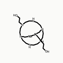 OCCN1CCNCCN2CCNCCNCCN(CCNCCN(CCO)CC2)CC1